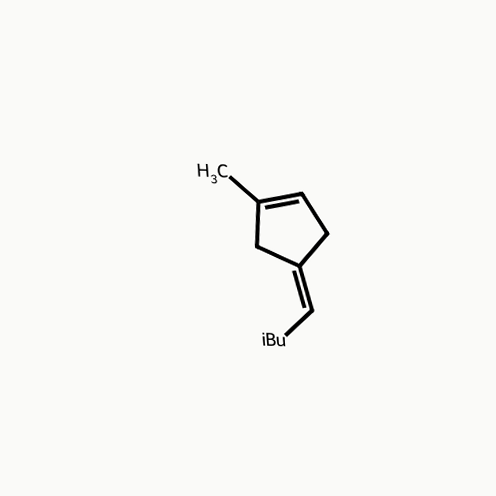 CCC(C)C=C1CC=C(C)C1